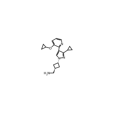 NC[C@H]1C[C@H](n2cc(-c3ncccc3OC3CC3)c(C3CC3)n2)C1